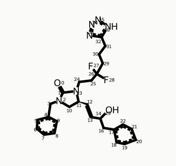 O=C1N(Cc2ccccc2)C[C@H](C=CC(O)Cc2ccccc2)N1CCC(F)(F)CCCc1nnn[nH]1